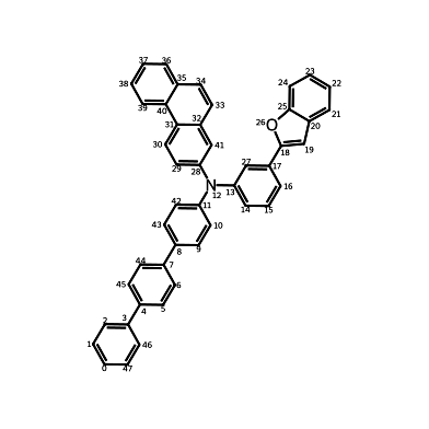 c1ccc(-c2ccc(-c3ccc(N(c4cccc(-c5cc6ccccc6o5)c4)c4ccc5c(ccc6ccccc65)c4)cc3)cc2)cc1